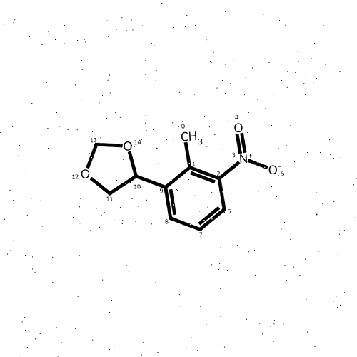 Cc1c([N+](=O)[O-])[c]ccc1C1COCO1